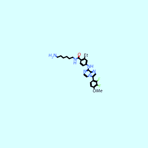 CCc1cc(Nc2nccn3c(-c4ccc(OC)c(F)c4F)cnc23)ccc1C(=O)NCCCCCCN